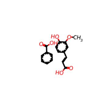 COc1cc(C=CC(=O)O)ccc1O.O=C(O)c1ccccc1